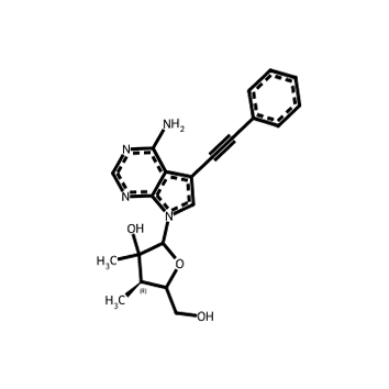 C[C@@H]1C(CO)OC(n2cc(C#Cc3ccccc3)c3c(N)ncnc32)C1(C)O